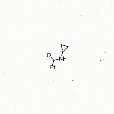 CCC([O])NC1CC1